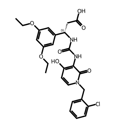 CCOc1cc(OCC)cc([C@H](CC(=O)O)NC(=O)Nc2c(O)ccn(Cc3ccccc3Cl)c2=O)c1